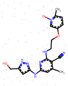 Cc1cc(Nc2cc(CO)[nH]n2)nc(NCCOc2ccc(C)[n+]([O-])c2)c1C#N